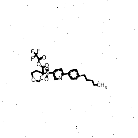 CCCCCc1ccc(-c2ccc(S(=O)(=O)C3(C(=O)OC(=O)C(F)(F)F)CCOCC3)cn2)cc1